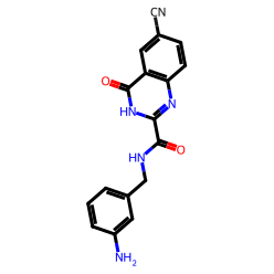 N#Cc1ccc2nc(C(=O)NCc3cccc(N)c3)[nH]c(=O)c2c1